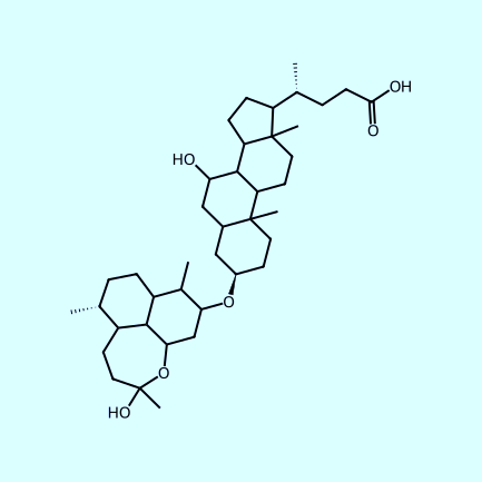 CC1C(O[C@@H]2CCC3(C)C(CC(O)C4C3CCC3(C)C4CCC3[C@H](C)CCC(=O)O)C2)CC2OC(C)(O)CCC3C2C1CC[C@H]3C